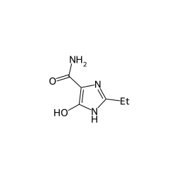 CCc1nc(C(N)=O)c(O)[nH]1